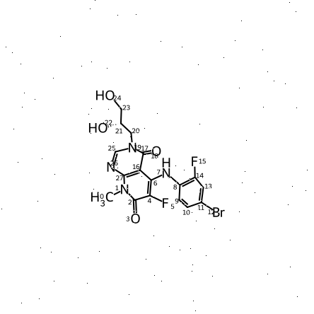 Cn1c(=O)c(F)c(Nc2ccc(Br)cc2F)c2c(=O)n(C[C@H](O)CO)cnc21